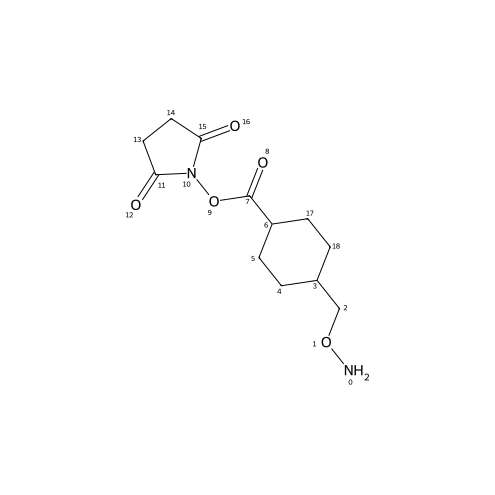 NOCC1CCC(C(=O)ON2C(=O)CCC2=O)CC1